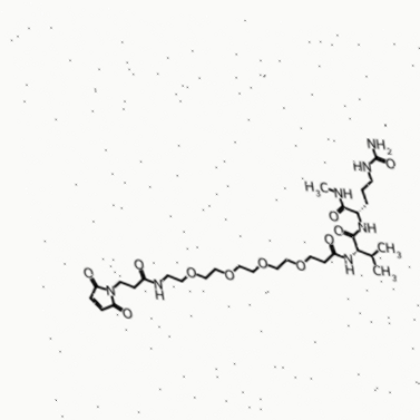 CNC(=O)[C@H](CCCNC(N)=O)NC(=O)[C@@H](NC(=O)CCOCCOCCOCCOCCNC(=O)CCN1C(=O)C=CC1=O)C(C)C